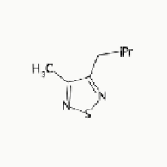 Cc1nsnc1CC(C)C